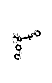 CC(C)(C#Cc1cc(N[C@H]2CC[C@H](Oc3ccccn3)CC2)c(C(=O)O)s1)COC1CCCCO1